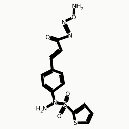 NON=NC(=O)/C=C/c1ccc(N(N)S(=O)(=O)c2cccs2)cc1